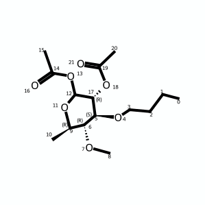 CCCCO[C@H]1[C@H](OC)[C@@H](C)OC(OC(C)=O)[C@@H]1OC(C)=O